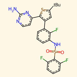 CC(C)(C)c1cc(-c2cccc(NS(=O)(=O)c3c(F)cccc3F)c2F)c(-c2ccnc(N)n2)s1